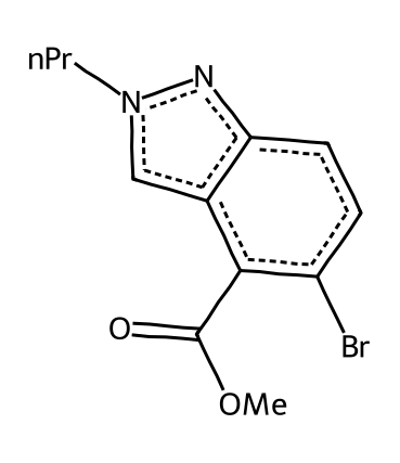 CCCn1cc2c(C(=O)OC)c(Br)ccc2n1